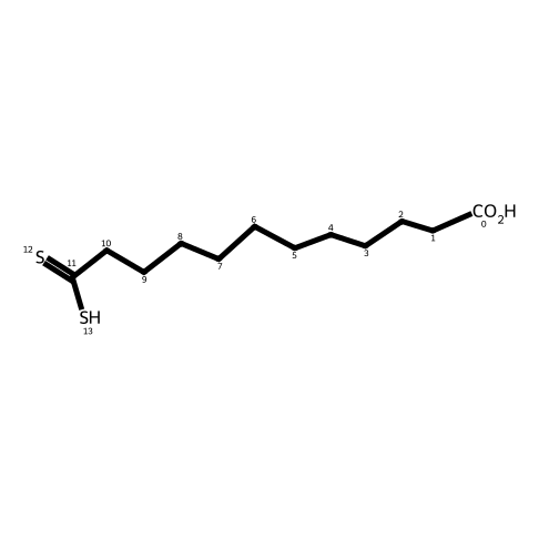 O=C(O)CCCCCCCCCCC(=S)S